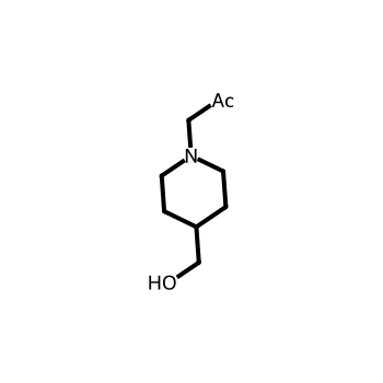 CC(=O)CN1CCC(CO)CC1